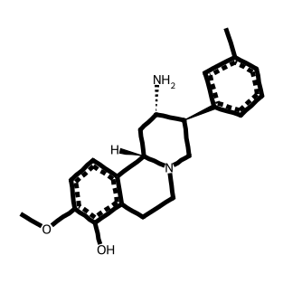 COc1ccc2c(c1O)CCN1C[C@H](c3cccc(C)c3)[C@@H](N)C[C@@H]21